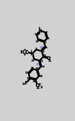 CN1C/C(=C\c2ccncc2)C(=O)/C(=C/c2ccc(F)c(C(F)(F)F)c2)C1